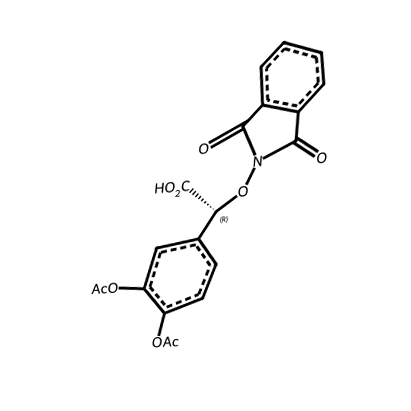 CC(=O)Oc1ccc([C@@H](ON2C(=O)c3ccccc3C2=O)C(=O)O)cc1OC(C)=O